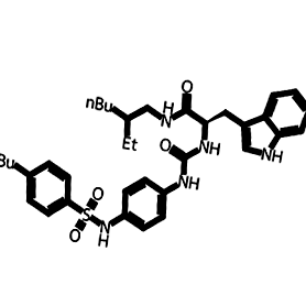 CCCCC(CC)CNC(=O)[C@@H](Cc1c[nH]c2ccccc12)NC(=O)Nc1ccc(NS(=O)(=O)c2ccc(C(C)(C)C)cc2)cc1